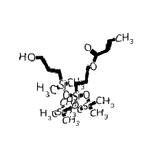 CC=CC(=O)OCCC[Si](O[Si](C)(C)C)(O[Si](C)(C)C)O[Si](C)(C)CCCO